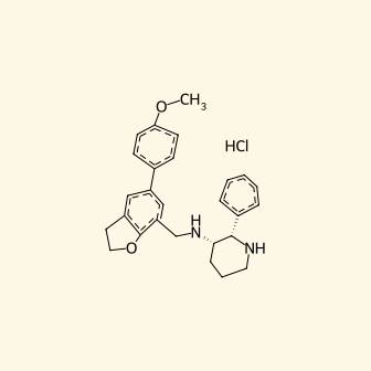 COc1ccc(-c2cc3c(c(CN[C@H]4CCCN[C@H]4c4ccccc4)c2)OCC3)cc1.Cl